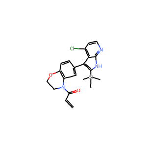 C=CC(=O)N1CCOc2ccc(-c3c([Si](C)(C)C)[nH]c4nccc(Cl)c34)cc21